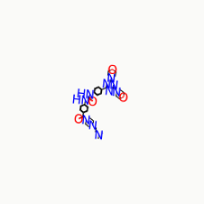 CN(C)CCN1CCN(C(=O)c2ccc(NC(=O)Nc3ccc(-c4nc(N5CCOCC5)nc(N5CCOCC5)n4)cc3)cc2)CC1